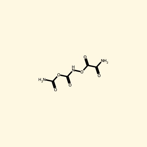 NC(=O)OC(=O)NOC(=O)C(N)=O